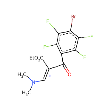 CCOC(=O)/C(=C\N(C)C)C(=O)c1c(F)c(F)c(Br)c(F)c1F